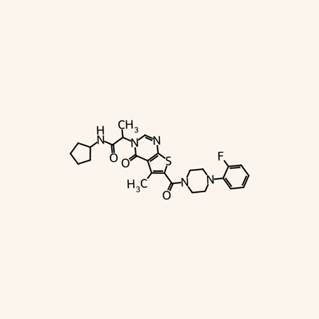 Cc1c(C(=O)N2CCN(c3ccccc3F)CC2)sc2ncn(C(C)C(=O)NC3CCCC3)c(=O)c12